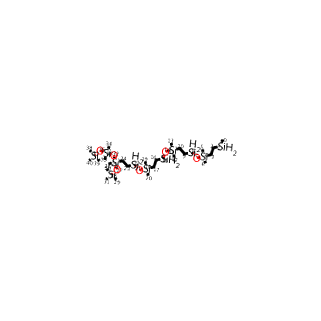 C[SiH2]CC[Si](C)(C)O[SiH2]CC[Si](C)(C)O[SiH2]CC[Si](C)(C)O[SiH2]CC[Si](C)(O[Si](C)(C)C)O[Si](C)(C)O[Si](C)(C)C